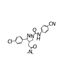 CN(C)C(=O)CC1CN(C(=O)Nc2ccc(C#N)cc2)N=C1c1ccc(Cl)cc1